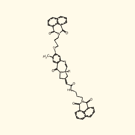 Cc1cc2c(cc1OCCCN1C(=O)c3cccc4cccc(c34)C1=O)N=C[C@@H]1C/C(=C\C(=O)NCCCN3C(=O)c4cccc5cccc(c45)C3=O)CN1C2=O